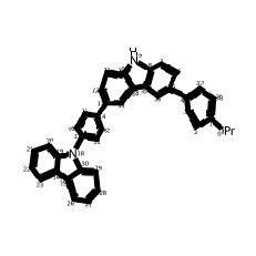 CC(C)c1ccc(-c2ccc3[nH]c4ccc(-c5ccc(-n6c7ccccc7c7ccccc76)cc5)cc4c3c2)cc1